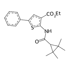 CCOC(=O)c1cc(-c2ccccc2)sc1NC(=O)C1C(C)(C)C1(C)C